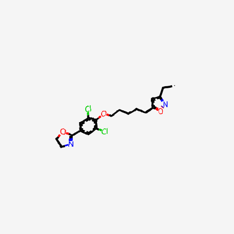 [CH2]Cc1cc(CCCCCOc2c(Cl)cc(C3=NCCO3)cc2Cl)on1